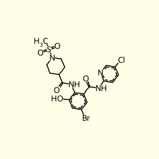 CS(=O)(=O)N1CCC(C(=O)Nc2c(O)cc(Br)cc2C(=O)Nc2ccc(Cl)cn2)CC1